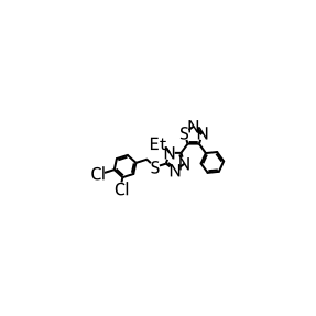 CCn1c(SCc2ccc(Cl)c(Cl)c2)nnc1-c1snnc1-c1ccccc1